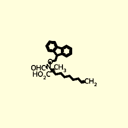 C=CCCCCCC[C@](C)(C(=O)O)N(C=O)OCC1c2ccccc2-c2ccccc21